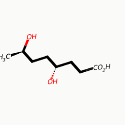 C[C@@H](O)CC[C@@H](O)CCC(=O)O